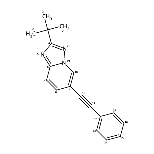 CC(C)(C)c1nc2ccc(C#Cc3ccccc3)cn2n1